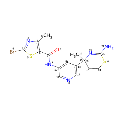 Cc1nc(Br)sc1C(=O)Nc1cncc([C@]2(C)CCSC(N)=N2)c1